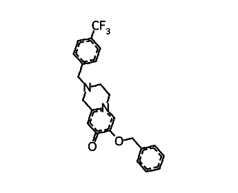 O=c1cc2n(cc1OCc1ccccc1)CCN(Cc1ccc(C(F)(F)F)cc1)C2